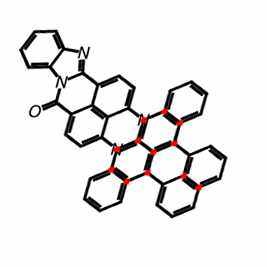 O=c1c2ccc(N3c4ccccc4C(c4ccccc4)c4ccccc43)c3c(N4c5ccccc5C(c5ccccc5)c5ccccc54)ccc(c32)c2nc3ccccc3n12